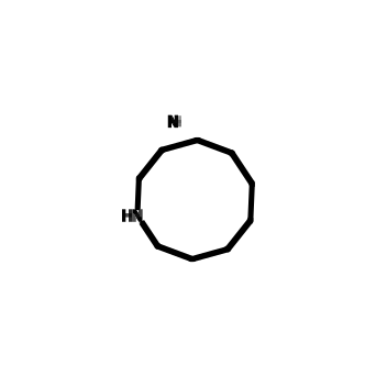 C1CCCCNCCCC1.[N]